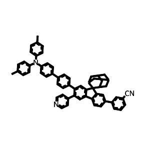 Cc1ccc(N(c2ccc(C)cc2)c2ccc(-c3ccc(-c4cc5c(cc4-c4ccncc4)-c4ccc(-c6cccc(C#N)c6)cc4C54C5CC6CC(C5)CC4C6)cc3)cc2)cc1